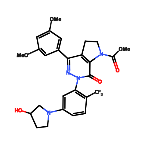 COC(=O)N1CCc2c(-c3cc(OC)cc(OC)c3)nn(-c3cc(N4CCC(O)C4)ccc3C(F)(F)F)c(=O)c21